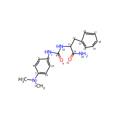 CN(C)c1ccc(NC(=O)NC(Cc2ccccc2)C(N)=O)cc1